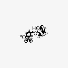 COc1ccc(COCC2(N(C(=O)O)C(C)(C)C)CC2)cc1[N+](=O)[O-]